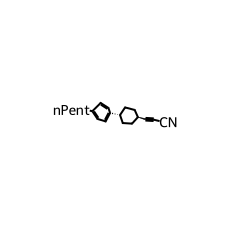 CCCCCc1ccc([C@H]2CC[C@H](C#CC#N)CC2)cc1